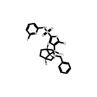 CN(c1cc(S(=O)(=O)Nc2cccc(F)n2)sc1Cl)[C@H]1[C@@H]2CC[C@H]1CN(Cc1ccccc1)C2